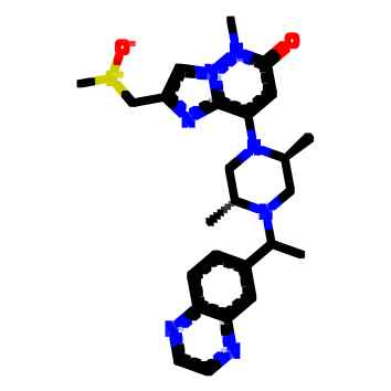 CC(c1ccc2nccnc2c1)N1C[C@H](C)N(c2cc(=O)n(C)n3cc(C[S+](C)[O-])nc23)C[C@H]1C